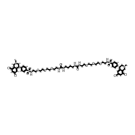 CN1Cc2c(Cl)cc(Cl)cc2[C@H](c2ccc(S(=O)(=O)NCCOCCOCCOCCNC(=O)NCCCCNC(=O)NCCOCCOCCOCCNS(=O)(=O)c3ccc([C@@H]4CN(C)Cc5c(Cl)cc(Cl)cc54)cc3)cc2)C1